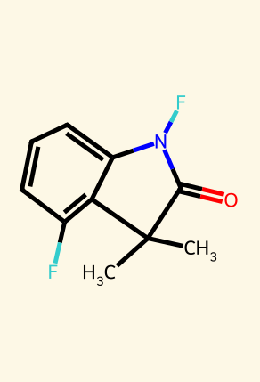 CC1(C)C(=O)N(F)c2cccc(F)c21